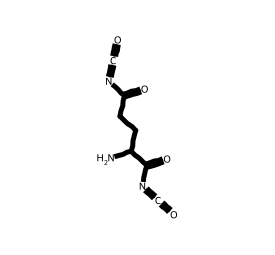 NC(CCC(=O)N=C=O)C(=O)N=C=O